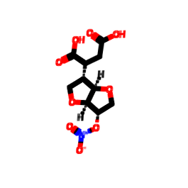 O=C(O)CC(C(=O)O)[C@H]1CO[C@H]2[C@@H]1OC[C@@H]2O[N+](=O)[O-]